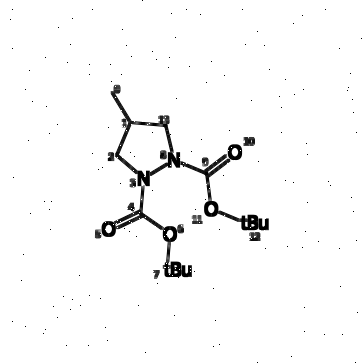 CC1CN(C(=O)OC(C)(C)C)N(C(=O)OC(C)(C)C)C1